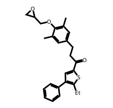 CCc1sc(C(=O)CCc2cc(C)c(OCC3CO3)c(C)c2)cc1-c1ccccc1